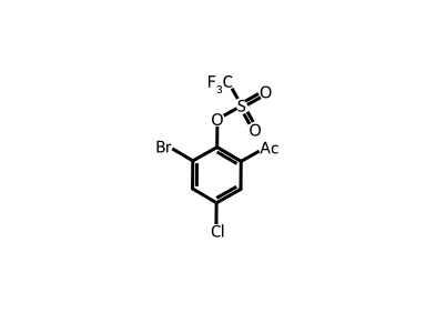 CC(=O)c1cc(Cl)cc(Br)c1OS(=O)(=O)C(F)(F)F